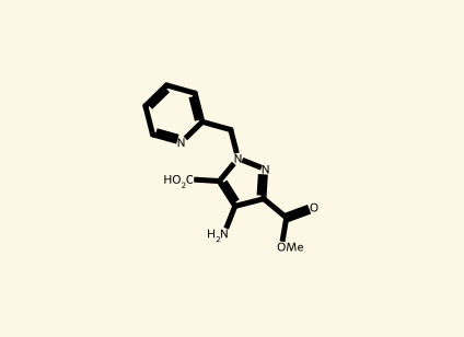 COC(=O)c1nn(Cc2ccccn2)c(C(=O)O)c1N